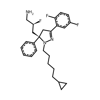 NC[C@@H](F)C[C@@]1(c2ccccc2)CC(c2cc(F)ccc2F)=NN1CCCCCC1CC1